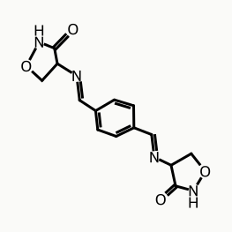 O=C1NOCC1N=Cc1ccc(C=NC2CONC2=O)cc1